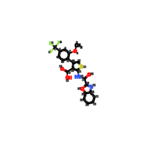 COc1cc(C(F)(F)F)ccc1-c1csc(NC(=O)c2nc3ccccc3o2)c1C(=O)O